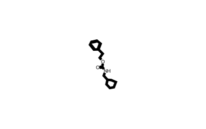 O=C(NCC1CCCCC1)OCCc1ccccc1